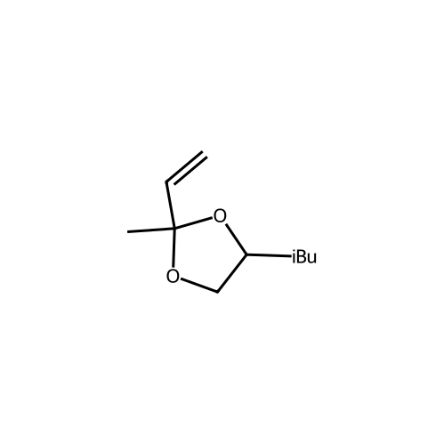 C=CC1(C)OCC(C(C)CC)O1